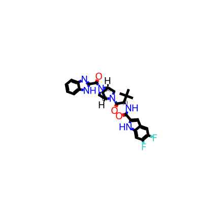 CC(C)(C)[C@H](NC(=O)c1cc2cc(F)c(F)cc2[nH]1)C(=O)N1C[C@@H]2C[C@H]1CN2C(=O)c1nc2ccccc2[nH]1